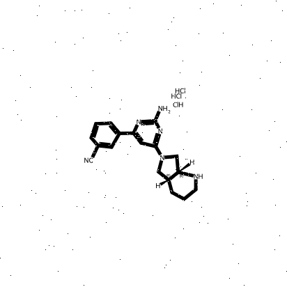 Cl.Cl.Cl.N#Cc1cccc(-c2cc(N3C[C@H]4CCCN[C@H]4C3)nc(N)n2)c1